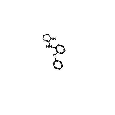 c1ccc(Sc2ccccc2NC2=NCCN2)cc1